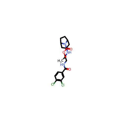 CCOC(=O)N1C2CCC1CC(NCCNC(=O)c1ccc(Cl)c(Cl)c1)C2